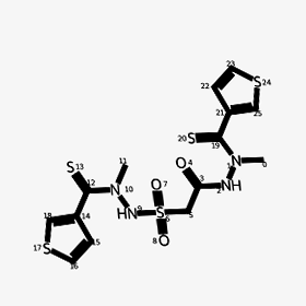 CN(NC(=O)CS(=O)(=O)NN(C)C(=S)c1ccsc1)C(=S)c1ccsc1